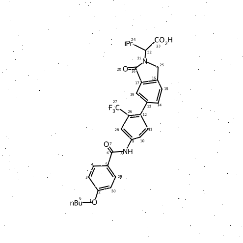 CCCCOc1ccc(C(=O)Nc2ccc(-c3ccc4c(c3)C(=O)N(C(C(=O)O)C(C)C)C4)c(C(F)(F)F)c2)cc1